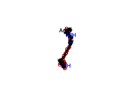 CC(=O)c1c(C)c2cnc(Nc3ccc(N4CCN(CCOCCOCCOCCOCCOc5cccc6c5C(=O)N(C5CCC(=O)NC5=O)C6=O)CC4)cn3)nc2n(C2CCCC2)c1=O